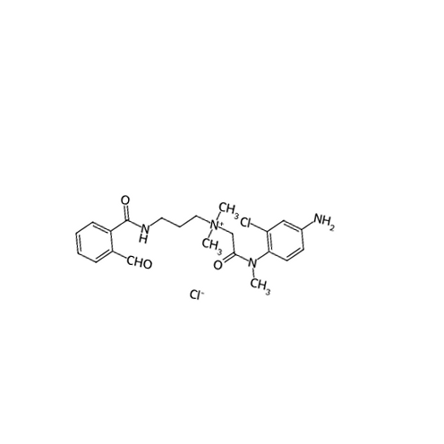 CN(C(=O)C[N+](C)(C)CCCNC(=O)c1ccccc1C=O)c1ccc(N)cc1Cl.[Cl-]